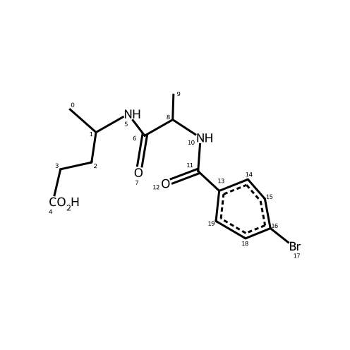 CC(CCC(=O)O)NC(=O)C(C)NC(=O)c1ccc(Br)cc1